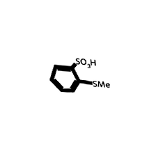 CSc1ccccc1S(=O)(=O)O